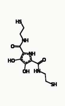 O=C(NCCS)c1[nH]c(C(=O)NCCS)c(O)c1O